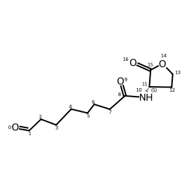 O=CCCCCCCC(=O)N[C@H]1CCOC1=O